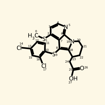 CSc1ccnc2c1c(Sc1ccc(Cl)cc1Cl)c1n2CCCC1CC(=O)O